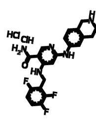 Cl.Cl.NC(=O)c1cnc(Nc2ccc3c(c2)CCNC3)cc1NCc1c(F)ccc(F)c1F